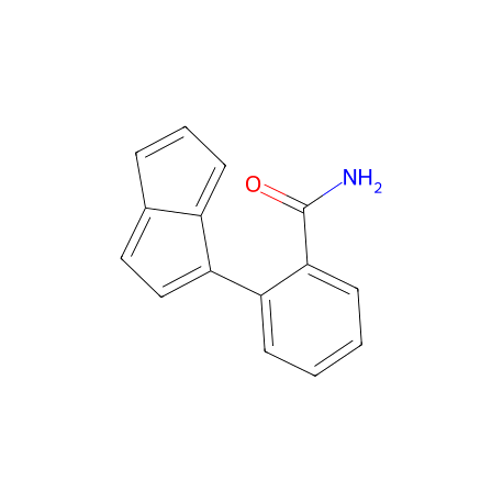 NC(=O)c1ccccc1C1=CC=C2C=CC=C21